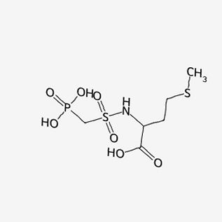 CSCCC(NS(=O)(=O)CP(=O)(O)O)C(=O)O